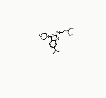 CCN(CC)CCNc1nc(N2CCOCC2)c2ccc(C(C)C)cc2n1